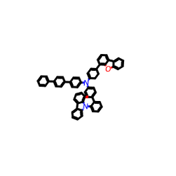 C1=C(c2cccc3c2oc2ccccc23)CCC(N(c2ccc(-c3ccc(-c4ccccc4)cc3)cc2)c2ccc(-c3ccccc3-n3c4ccccc4c4ccccc43)cc2)=C1